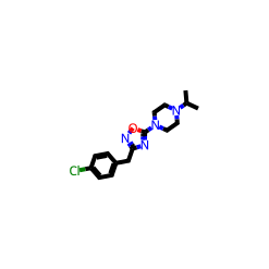 CC(C)N1CCN(c2nc(Cc3ccc(Cl)cc3)no2)CC1